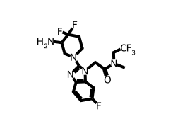 CN(CC(F)(F)F)C(=O)Cn1c(N2CCC(F)(F)C(N)C2)nc2ccc(F)cc21